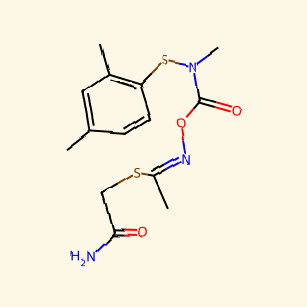 CC(=NOC(=O)N(C)Sc1ccc(C)cc1C)SCC(N)=O